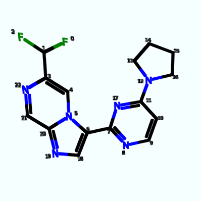 FC(F)c1cn2c(-c3nccc(N4CCCC4)n3)cnc2cn1